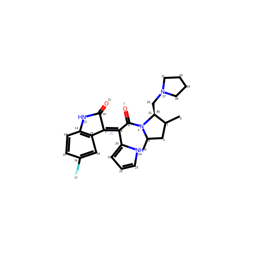 CC1CC(C)N(C(=O)/C(=C2\C(=O)Nc3ccc(F)cc32)c2ccc[nH]2)[C@H]1CN1CCCC1